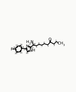 CCCC(=O)CCCCC[C@H](N)c1nc(-c2ccc(F)cc2)c[nH]1